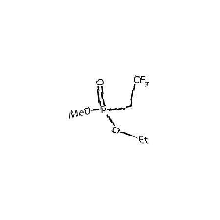 CCOP(=O)(CC(F)(F)F)OC